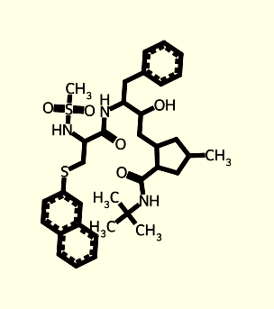 CC1CC(CC(O)C(Cc2ccccc2)NC(=O)C(CSc2ccc3ccccc3c2)NS(C)(=O)=O)C(C(=O)NC(C)(C)C)C1